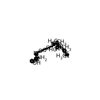 Cc1ncsc1-c1ccc([C@H](C)NC(=O)[C@@H]2C[C@@H](O)CN2C(=O)[C@H](c2cc(CCCOCCOCCOCCn3cc(-c4cc(-c5ccccc5O)nnc4N)cn3)no2)C(C)C)cc1